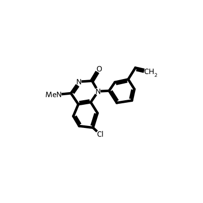 C=Cc1cccc(-n2c(=O)nc(NC)c3ccc(Cl)cc32)c1